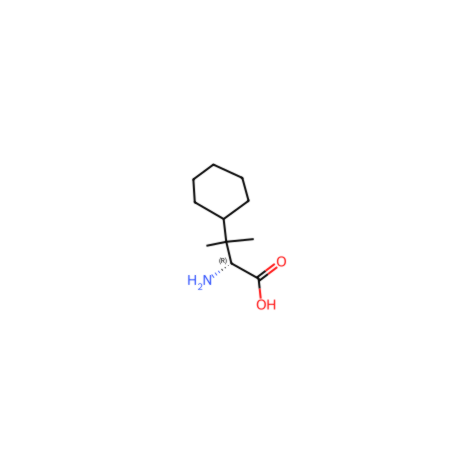 CC(C)(C1CCCCC1)[C@@H](N)C(=O)O